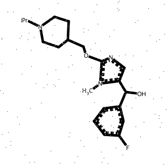 CC(C)N1CCC(COc2ncc(C(O)c3cccc(F)c3)n2C)CC1